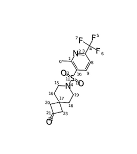 Cc1nc(C(F)(F)F)ccc1S(=O)(=O)N1CCC2(CC1)CC(=O)C2